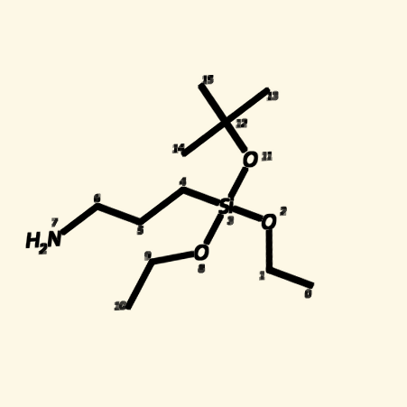 CCO[Si](CCCN)(OCC)OC(C)(C)C